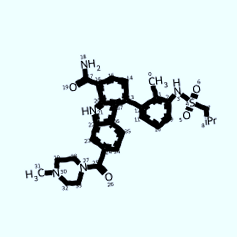 Cc1c(NS(=O)(=O)CC(C)C)cccc1-c1ccc(C(N)=O)c2[nH]c3cc(C(=O)N4CCN(C)CC4)ccc3c12